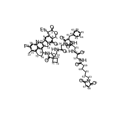 CCC1C(=O)OCc2c1cc1n(c2=O)Cc2c-1nc1cc(F)c(C)c3c1c2C(NC(=O)C1(OCNC(=O)CNC(=O)C(Cc2ccccc2)NC(=O)CNC(=O)CNC(=O)CCCCCN2C(=O)C=CC2=O)CCC1)CC3